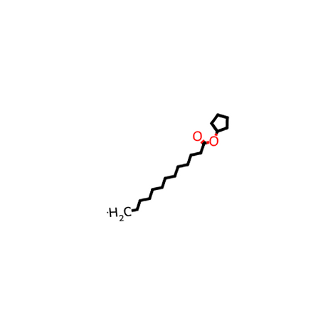 [CH2]CCCCCCCCCCCC(=O)OC1CCCC1